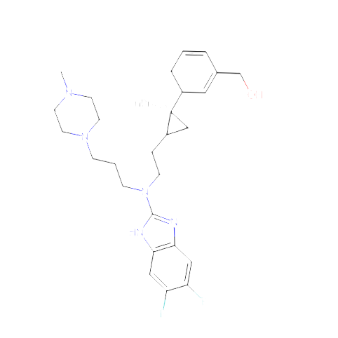 CCC[C@]1(C2C=C(CO)C=CC2)CC1CCN(CCCN1CCN(C)CC1)c1nc2cc(F)c(F)cc2[nH]1